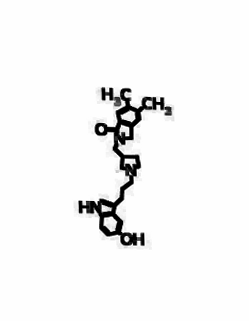 Cc1cc2c(cc1C)C(=O)N(CC1CCN(CCCc3c[nH]c4ccc(O)cc34)C1)C2